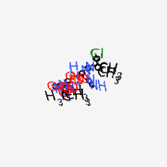 CC1(C)CCC(CN2CCN(c3ccc(C(=O)NS(=O)(=O)c4ccc(NCC5COCCN5C(=O)OC(C)(C)C)c([N+](=O)[O-])c4)c(Oc4cnc5[nH]ccc5c4)c3)CC2)=C(c2ccc(Cl)cc2)C1